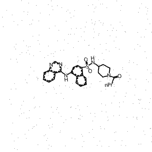 CCCC(=O)N1CCC(NS(=O)(=O)c2ccc(Nc3ncnc4ccccc34)c3ccccc23)CC1